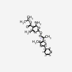 C/C(=N\Oc1nc(N)c(C(=O)OC(C)C)c(N)n1)c1sc(-c2cccnc2)nc1C